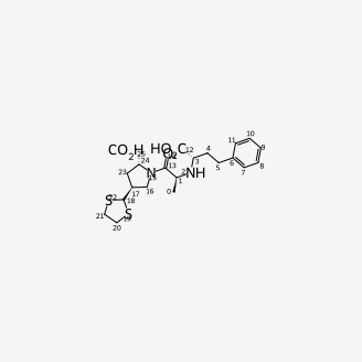 C[C@H](N[C@@H](CCc1ccccc1)C(=O)O)C(=O)N1C[C@@H](C2SCCS2)C[C@@H]1C(=O)O